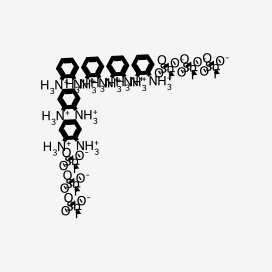 [NH3+]c1ccccc1[NH3+].[NH3+]c1ccccc1[NH3+].[NH3+]c1ccccc1[NH3+].[NH3+]c1ccccc1[NH3+].[NH3+]c1ccccc1[NH3+].[NH3+]c1ccccc1[NH3+].[O]=[Sb]([O-])([O-])[F].[O]=[Sb]([O-])([O-])[F].[O]=[Sb]([O-])([O-])[F].[O]=[Sb]([O-])([O-])[F].[O]=[Sb]([O-])([O-])[F].[O]=[Sb]([O-])([O-])[F]